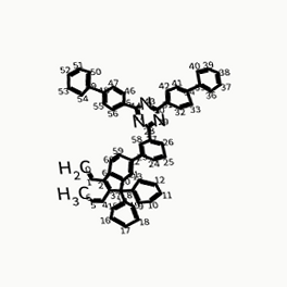 C=CC1=C(/C=C\C)C(c2ccccc2)(c2ccccc2)c2cc(-c3cccc(-c4nc(-c5ccc(-c6ccccc6)cc5)nc(-c5ccc(-c6ccccc6)cc5)n4)c3)ccc21